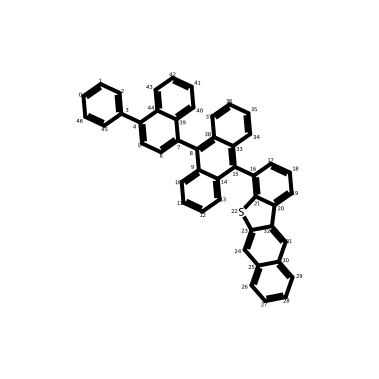 c1ccc(-c2ccc(-c3c4ccccc4c(-c4cccc5c4sc4cc6ccccc6cc45)c4ccccc34)c3ccccc23)cc1